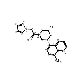 C[C@@H]1C[C@H](c2ccc(C(F)(F)F)c3ncccc23)CN(C(=O)Cn2cccn2)C1